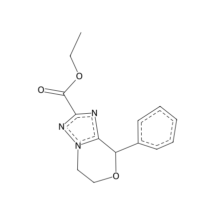 CCOC(=O)c1nc2n(n1)CCOC2c1ccccc1